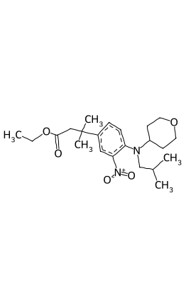 CCOC(=O)CC(C)(C)c1ccc(N(CC(C)C)C2CCOCC2)c([N+](=O)[O-])c1